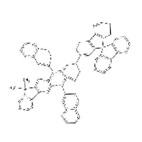 C[Si]1(C)c2ccccc2-c2cc3c(-c4ccc5ccccc5c4)c4c(c(C5=Cc6ccccc6CC5)c3cc21)=CC(C1=CC2=C(CC1)C1=C(CCC=C1)C21c2ccccc2-c2ccccc21)CC=4